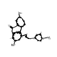 CC(C)(C)c1ccc2c(c1)C(=O)c1cc(C(C)(C)C)cc(/C=C/c3ccc([N+](=O)[O-])cc3)c1-2